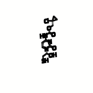 O=C(Nc1ccn(C(O)CS)c(=O)n1)OCC1(Cl)CC1